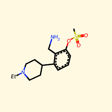 CCN1CCC(c2cccc(OS(C)(=O)=O)c2CN)CC1